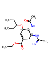 CCOC(=O)C1=C[C@@H](OC(CC)CC)[C@H](NC(C)=O)[C@@H](NC(C)=N)C1